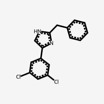 Clc1cc(Cl)cc(-c2c[nH]c(Cc3ccccc3)n2)c1